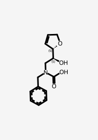 O=C(O)N(Cc1ccccc1)C[C@H](O)[C@@H]1C=CCO1